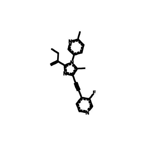 C=C(CC)c1nc(C#Cc2ccncc2F)c(C)n1-c1ccc(C)nc1